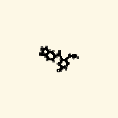 COc1cnc(Cl)nc1Nc1ccc2[nH]ncc2c1